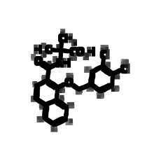 CC(C)(NC(=O)c1ccc2ccccc2c1OCc1ccc(Cl)c(Cl)c1)C(=O)O